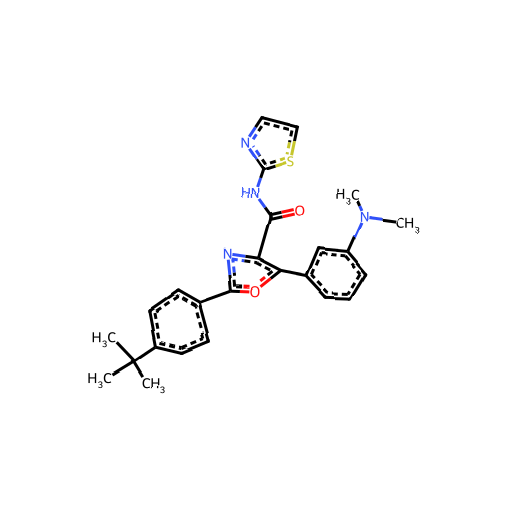 CN(C)c1cccc(-c2oc(-c3ccc(C(C)(C)C)cc3)nc2C(=O)Nc2nccs2)c1